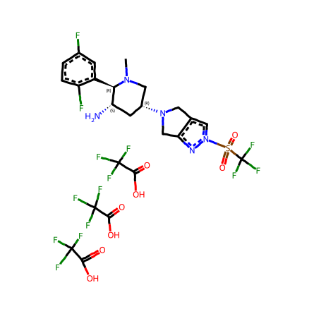 CN1C[C@H](N2Cc3cn(S(=O)(=O)C(F)(F)F)nc3C2)C[C@H](N)[C@H]1c1cc(F)ccc1F.O=C(O)C(F)(F)F.O=C(O)C(F)(F)F.O=C(O)C(F)(F)F